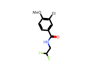 CCc1cc(C(=O)NCC(F)F)ccc1OC